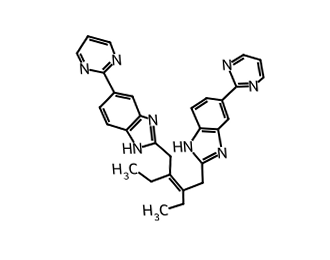 CCC(Cc1nc2cc(-c3ncccn3)ccc2[nH]1)=C(CC)Cc1nc2cc(-c3ncccn3)ccc2[nH]1